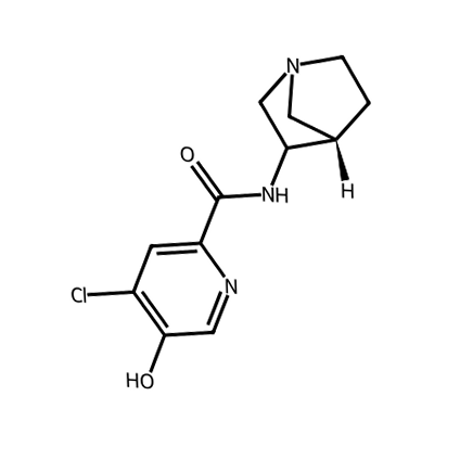 O=C(NC1CN2CC[C@H]1C2)c1cc(Cl)c(O)cn1